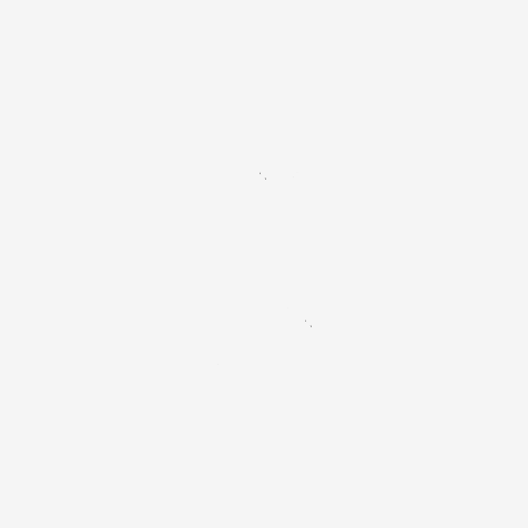 CN(C)Cc1cccc(-c2cc(C(=O)O)ccn2)c1